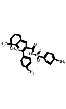 Cc1ccc(-c2nc3c(cc2C(=O)NS(=O)(=O)c2ccc(N)cc2)CCCC3(C)C)cc1